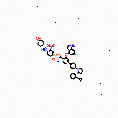 C[C@]1(O)CC[C@H](CNc2ccc(S(=O)(=O)NC(=O)c3ccc(-c4ccc(N5CCC[C@@H]5c5ccccc5C5CC5)cc4)cc3Oc3cc(F)cc4[nH]ccc34)cc2[N+](=O)[O-])CC1